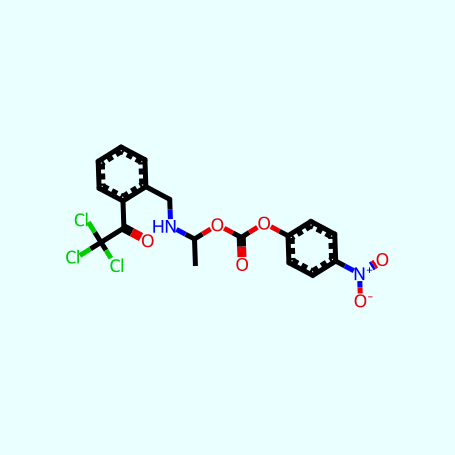 CC(NCc1ccccc1C(=O)C(Cl)(Cl)Cl)OC(=O)Oc1ccc([N+](=O)[O-])cc1